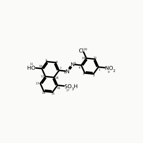 O=[N+]([O-])c1ccc(N=Nc2ccc(O)c3cccc(S(=O)(=O)O)c23)c(Cl)c1